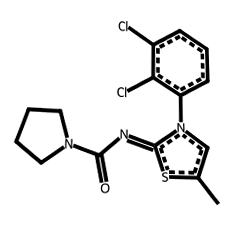 Cc1cn(-c2cccc(Cl)c2Cl)/c(=N/C(=O)N2CCCC2)s1